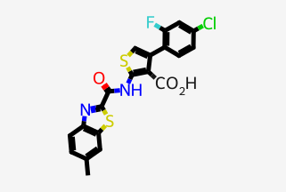 Cc1ccc2nc(C(=O)Nc3scc(-c4ccc(Cl)cc4F)c3C(=O)O)sc2c1